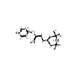 CC1(C)CC(CCC(=O)Oc2ncncn2)CC(C)(C)N1